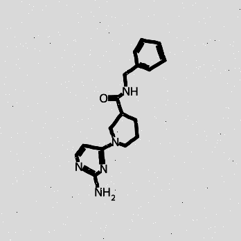 Nc1nccc(N2CCCC(C(=O)NCc3ccccc3)C2)n1